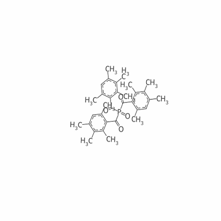 Cc1cc(C)c(C(=O)P(=O)(C(=O)c2c(C)cc(C)c(C)c2C)C(=O)c2c(C)cc(C)c(C)c2C)c(C)c1C